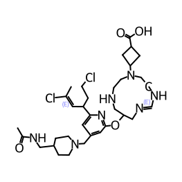 CC(=O)NCC1CCN(Cc2cc(OC3C/N=C/NCCN(C4CC(C(=O)O)C4)CCNC3)nc(C(/C=C(\C)Cl)CCCl)c2)CC1